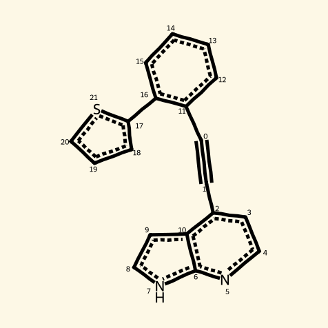 C(#Cc1ccnc2[nH]ccc12)c1ccccc1-c1cccs1